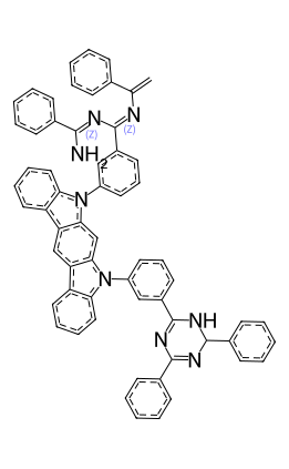 C=C(/N=C(\N=C(/N)c1ccccc1)c1cccc(-n2c3ccccc3c3cc4c5ccccc5n(-c5cccc(C6=NC(c7ccccc7)=NC(c7ccccc7)N6)c5)c4cc32)c1)c1ccccc1